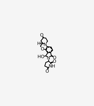 O=C1CCN2c3ccc4c(c3OC[C@@H]2C1)C(O)N(C1CCC(=O)NC1=O)C4=O